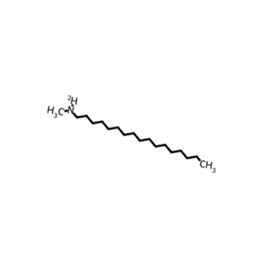 [2H]N(C)CCCCCCCCCCCCCCCCC